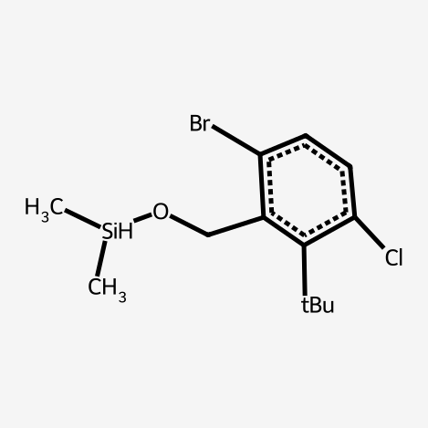 C[SiH](C)OCc1c(Br)ccc(Cl)c1C(C)(C)C